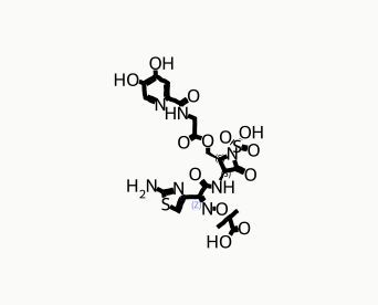 CC(C)(O/N=C(\C(=O)N[C@@H]1C(=O)N(S(=O)(=O)O)[C@@H]1COC(=O)CNC(=O)c1cc(O)c(O)cn1)c1csc(N)n1)C(=O)O